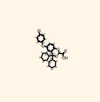 O=C(O)C1Oc2ccc(Oc3ccc(Cl)cc3)cc2C(C2CCCCC2)(C2CCCCC2)O1